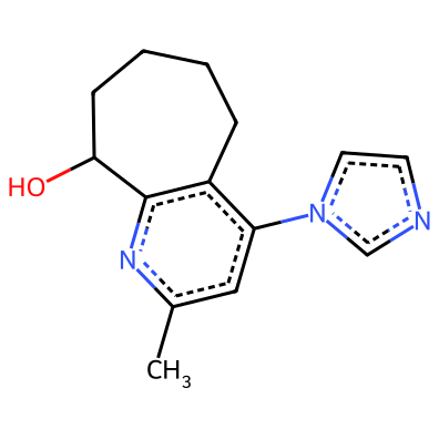 Cc1cc(-n2ccnc2)c2c(n1)C(O)CCCC2